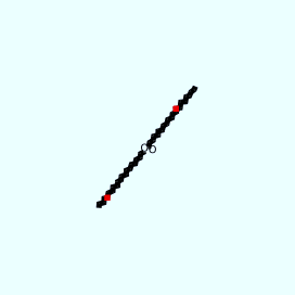 CCCCCCCCC=CCCCCCCCCCCCC(=O)OCCCCCCCCCCCCCCCCCCCCC